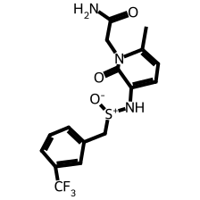 Cc1ccc(N[S+]([O-])Cc2cccc(C(F)(F)F)c2)c(=O)n1CC(N)=O